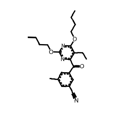 CCCCOc1nc(OCCCC)c(CC)c(C(=O)c2cc(C)cc(C#N)c2)n1